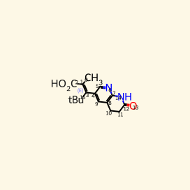 C/C(C(=O)O)=C(\c1cnc2c(c1)CCC(=O)N2)C(C)(C)C